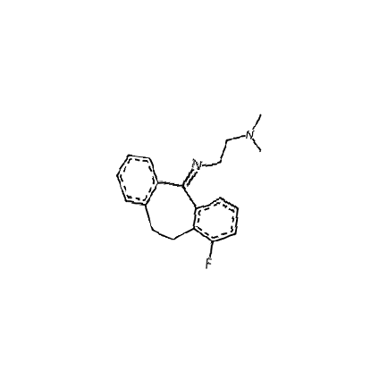 CN(C)CCN=C1c2ccccc2CCc2c(F)cccc21